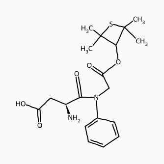 CC1(C)SC(C)(C)C1OC(=O)CN(C(=O)[C@@H](N)CC(=O)O)c1ccccc1